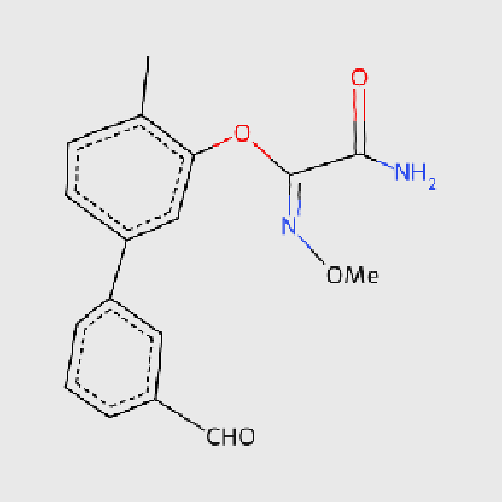 CON=C(Oc1cc(-c2cccc(C=O)c2)ccc1C)C(N)=O